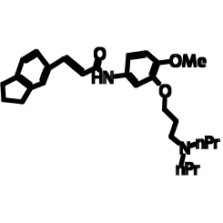 CCCN(CCC)CCCOc1cc(NC(=O)C=Cc2ccc3c(c2)CCC3)ccc1OC